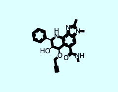 C#CCO[C@@H]1c2c(C(=O)NC)cc3c(nc(C)n3C)c2N[C@H](c2ccccc2)[C@H]1O